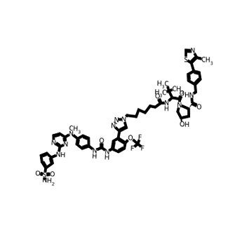 Cc1ncsc1-c1ccc(CNC(=O)[C@@H]2C[C@@H](O)CN2C(=O)C(NC(=O)CCCCCCn2cc(-c3cc(NC(=O)Nc4ccc(N(C)c5ccnc(Nc6cccc(S(N)(=O)=O)c6)n5)cc4)ccc3OC(F)(F)F)nn2)C(C)(C)C)cc1